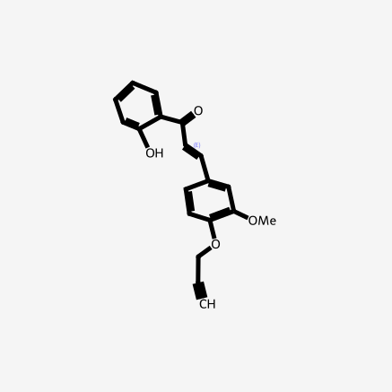 C#CCOc1ccc(/C=C/C(=O)c2ccccc2O)cc1OC